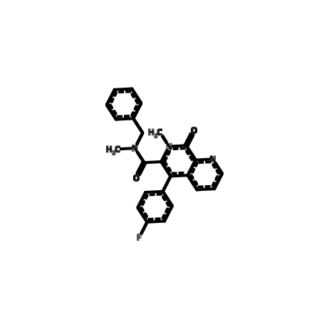 CN(Cc1ccccc1)C(=O)c1c(-c2ccc(F)cc2)c2cccnc2c(=O)n1C